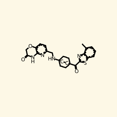 Cc1cccc2sc(C(=O)C34CCC(NCc5ccc6c(n5)NC(=O)CO6)(CC3)CC4)nc12